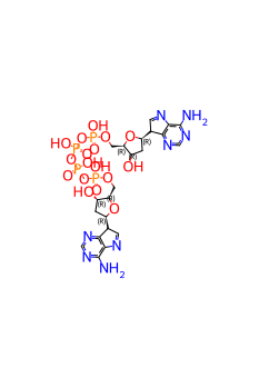 Nc1ncnc2c1N=CC2[C@H]1C[C@@H](O)[C@@H](COP(=O)(O)OP(=O)(O)OP(=O)(O)OP(=O)(O)OC[C@H]2O[C@@H](C3C=Nc4c(N)ncnc43)C[C@H]2O)O1